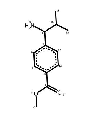 COC(=O)c1ccc(C(N)C(C)C)cc1